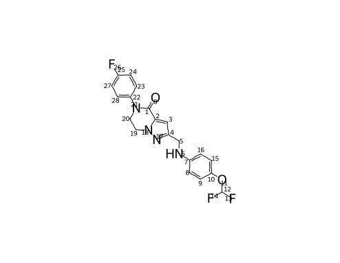 O=C1c2cc(CNc3ccc(OC(F)F)cc3)nn2CCN1c1ccc(F)cc1